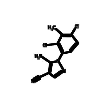 Cc1c(Cl)ccc(-n2ncc(C#N)c2N)c1Cl